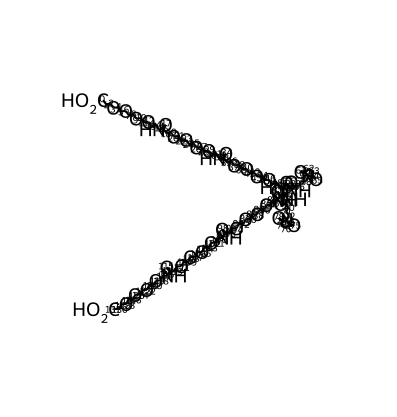 O=C(O)CCOCCOCCOCCOCCNC(=O)CCOCCOCCOCCOCCNC(=O)CCOCCOCCOCCOCCNC(=O)[C@@H](NC(=O)CCCN1C(=O)C=CC1=O)[C@H](NC(=O)CCCN1C(=O)C=CC1=O)C(=O)NCCOCCOCCOCCOCCC(=O)NCCOCCOCCOCCOCCC(=O)NCCOCCOCCOCCOCCC(=O)O